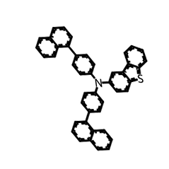 c1ccc2c(-c3ccc(N(c4ccc(-c5cccc6ccccc56)cc4)c4ccc5sc6ccccc6c5c4)cc3)cccc2c1